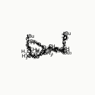 CC(C)(C)COCCCOC1CN(C(C)(C)CCC(C)(C)N[C@H]2C[C@@H](OCCOCC(C)(C)C(C)(C)[C@@H](CCC(C)(C)CCN3CCN(CCN(C(C)(C)C)C(C)(C)NCCCOCc4cccc(CC(C)(C)C)c4)CC3)OCCCOCCNC(C)(C)C)C2)C1